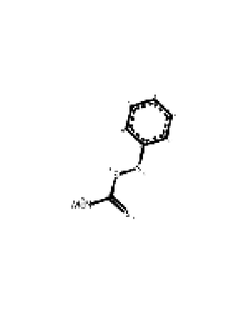 CNC(=S)SSc1ccccc1